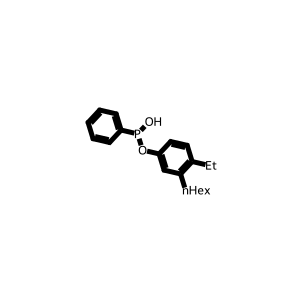 CCCCCCc1cc(OP(O)c2ccccc2)ccc1CC